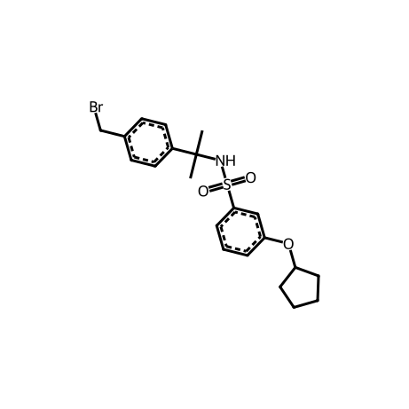 CC(C)(NS(=O)(=O)c1cccc(OC2CCCC2)c1)c1ccc(CBr)cc1